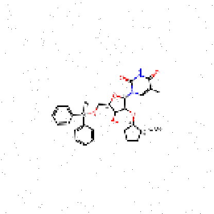 CO[C@@H]1CCC[C@H]1OC1C(O)[C@@H](CO[Si](c2ccccc2)(c2ccccc2)C(C)(C)C)O[C@H]1n1cc(C)c(=O)[nH]c1=O